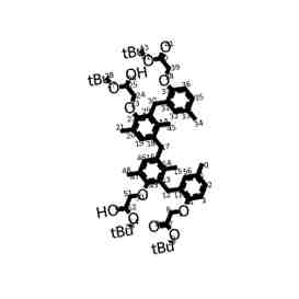 Cc1ccc(OCC(=O)OC(C)(C)C)c(Cc2c(C)c(Cc3cc(C)c(OCC(O)OC(C)(C)C)c(Cc4cc(C)ccc4OCC(=O)OC(C)(C)C)c3C)cc(C)c2OCC(O)OC(C)(C)C)c1